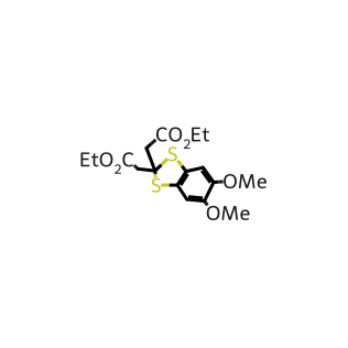 CCOC(=O)CC1(CC(=O)OCC)Sc2cc(OC)c(OC)cc2S1